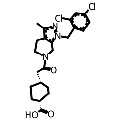 Cc1nn(Cc2ccc(Cl)cc2Cl)c2c1CCN(C(=O)C[C@H]1CC[C@@H](C(=O)O)CC1)C2